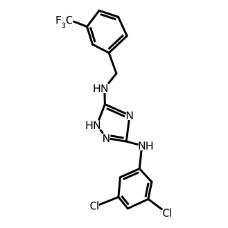 FC(F)(F)c1cccc(CNc2nc(Nc3cc(Cl)cc(Cl)c3)n[nH]2)c1